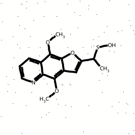 COc1c2cc(C(C)SO)oc2c(OC)c2cccnc12